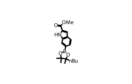 CCCCC1(C)OB(c2ccc3cc(C(=O)OC)[nH]c3c2)OC1(C)C